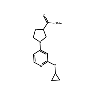 COC(=O)C1CCN(c2ccnc(OC3CC3)c2)C1